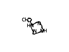 Clc1cccc(-c2cc3cc4nc(cc5ccc(cc6nc(cc2[nH]3)C=C6)[nH]5)C=C4)c1